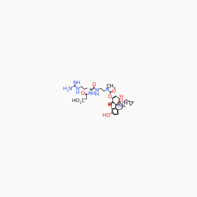 CN(CCNC(=O)[C@@H](CCCNC(=N)N)NC(=O)CC(=O)O)C(=O)OC1=CC[C@@]2(O)[C@H]3Cc4ccc(O)c5c4[C@@]2(CCN3CC2CC2)[C@H]1O5